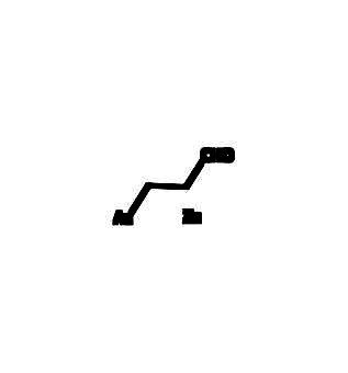 CC(=O)CCC=O.[Zn]